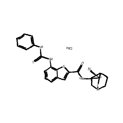 Cl.O=C(Nc1ccccc1)Nc1cccc2cc(C(=O)N[C@H]3CN4CCC3CC4)sc12